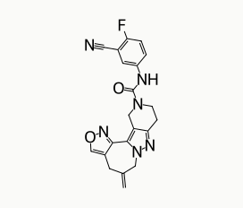 C=C1Cc2conc2-c2c3c(nn2C1)CCN(C(=O)Nc1ccc(F)c(C#N)c1)C3